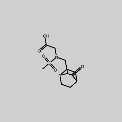 CS(=O)(=O)N(CC(=O)O)CC1C(=O)C2CCN1CC2